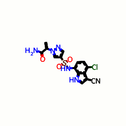 C=C(C(N)=O)n1cc(S(=O)(=O)Nc2ccc(Cl)c3c(C#N)c[nH]c23)cn1